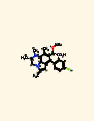 Cc1c([C@H](OC(C)(C)C)C(=O)O)c(-c2ccc(F)cc2)c2cc(C)n3c2c1N(C)[C@@H](C)C3